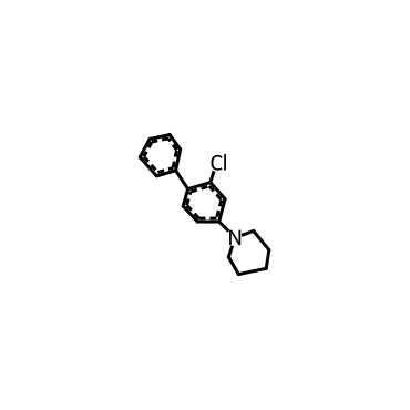 Clc1cc(N2CCCCC2)ccc1-c1ccccc1